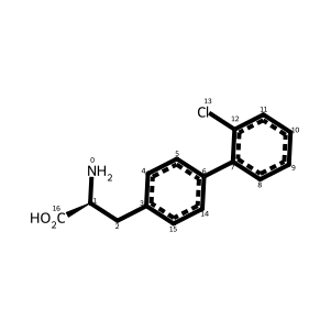 N[C@@H](Cc1ccc(-c2ccccc2Cl)cc1)C(=O)O